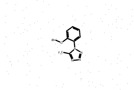 CCC(C)Oc1ccccc1-n1nnnc1C(F)(F)F